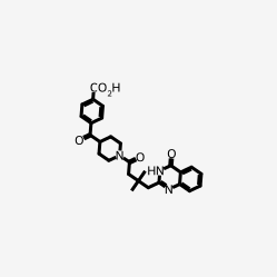 CC(C)(CC(=O)N1CCC(C(=O)c2ccc(C(=O)O)cc2)CC1)Cc1nc2ccccc2c(=O)[nH]1